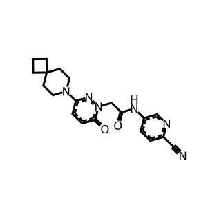 N#Cc1ccc(NC(=O)Cn2nc(N3CCC4(CCC4)CC3)ccc2=O)cn1